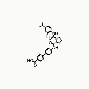 CC(C)c1ccc(NC(=O)N2CCC[C@@H]2C(=O)Nc2ccc(-c3ccc(C(=O)O)cc3)cc2)c(F)c1